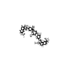 C[N+](C)(C)c1ccc2ccc(O)c(/N=N/c3ccc(Nc4nc(Cl)nc(Nc5ccc(/N=N/c6c(O)ccc7ccc([N+](C)(C)C)cc67)cc5)n4)cc3)c2c1